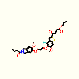 CCCOC(=O)CCC(=O)c1cc2c(F)c(OCCCOc3cc4c(cc3OC)CN(C(=O)CCC)C4)c(OC)cc2s1